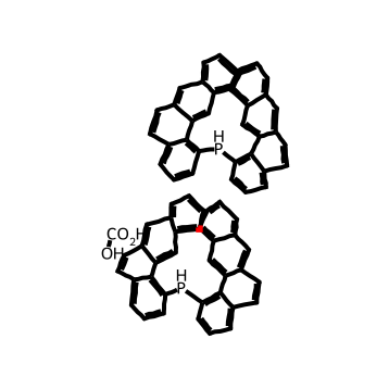 O=C(O)O.c1ccc2cc3c(ccc4cccc(Pc5cccc6ccc7cc8ccccc8cc7c56)c43)cc2c1.c1ccc2cc3c(ccc4cccc(Pc5cccc6ccc7cc8ccccc8cc7c56)c43)cc2c1